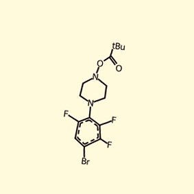 CC(C)(C)C(=O)ON1CCN(c2c(F)cc(Br)c(F)c2F)CC1